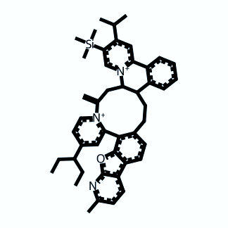 C=C1CC2C(CCc3ccc4c(oc5nc(C)ccc54)c3-c3cc(C(CC)CC)cc[n+]31)c1ccccc1-c1cc(C(C)C)c([Si](C)(C)C)c[n+]12